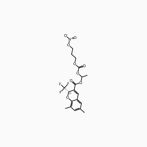 Cc1cc(C)c2c(c1)C=C(C(=O)OC(C)OC(=O)OCCCO[N+](=O)[O-])[C@@H](C(F)(F)F)O2